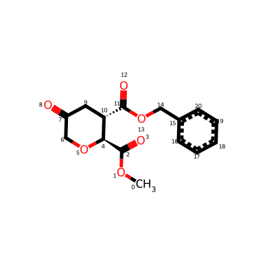 COC(=O)[C@H]1OCC(=O)C[C@@H]1C(=O)OCc1ccccc1